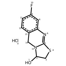 Cl.OC1CSC2=Nc3cc(F)ccc3CN21